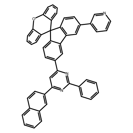 c1ccc(-c2nc(-c3ccc4c(c3)-c3cc(-c5cccnc5)ccc3C43c4ccccc4Oc4ccccc43)cc(-c3ccc4ccccc4c3)n2)cc1